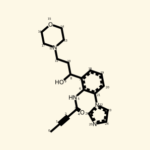 CC#CC(=O)Nc1c(C(O)CCN2CCOCC2)cccc1-n1ccnc1